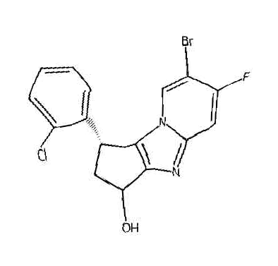 OC1C[C@H](c2ccccc2Cl)c2c1nc1cc(F)c(Br)cn21